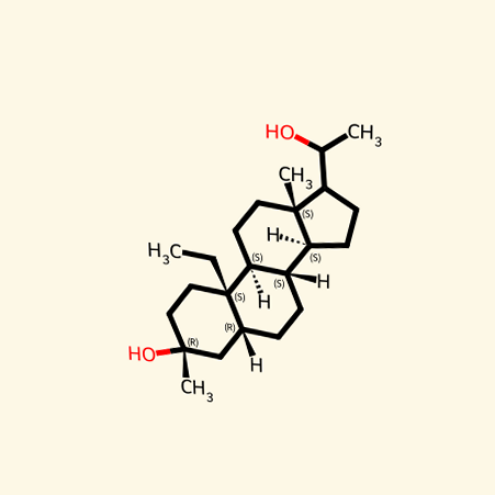 CC[C@]12CC[C@@](C)(O)C[C@H]1CC[C@@H]1[C@@H]2CC[C@]2(C)C(C(C)O)CC[C@@H]12